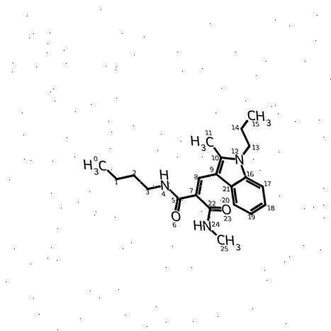 CCCCNC(=O)/C(=C/c1c(C)n(CCC)c2ccccc12)C(=O)NC